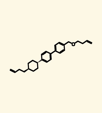 C=CCCOCc1ccc(-c2ccc([C@H]3CC[C@H](CCC=C)CC3)cc2)cc1